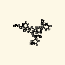 CCCOc1nccc(N2CCC3(CC2)CN(C2CCNC2)C(=O)c2nc(-c4cccnc4OCC)ccc23)c1C(F)(F)F